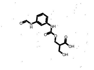 O=CNc1cccc(NC(=O)OCC(CO)C(=O)O)c1